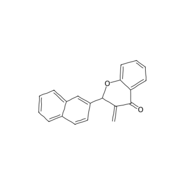 C=C1C(=O)c2ccccc2OC1c1ccc2ccccc2c1